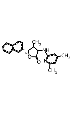 Cc1cc(C)nc(NC2C(=O)O[C@H](c3ccc4ccccc4c3)C2C)c1